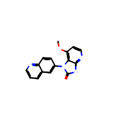 COc1ccnc2[nH]c(=O)n(-c3ccc4ncccc4c3)c12